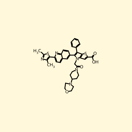 Cc1nc(C)c(-c2ccc3cc(-c4c(-c5ccccc5)c5sc(C(=O)O)cc5n4CC(=O)N4CCC(N5CCOCC5)CC4)ccc3n2)s1